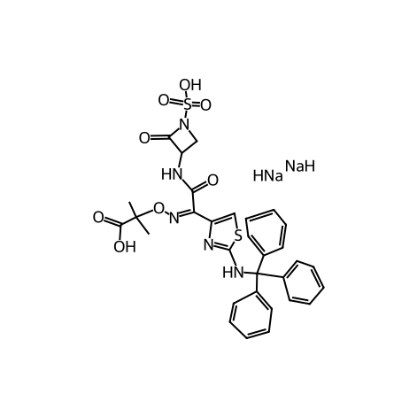 CC(C)(ON=C(C(=O)NC1CN(S(=O)(=O)O)C1=O)c1csc(NC(c2ccccc2)(c2ccccc2)c2ccccc2)n1)C(=O)O.[NaH].[NaH]